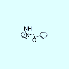 N=c1occn1CC(=O)c1ccccc1